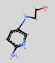 Nc1ccc([N]CCO)cn1